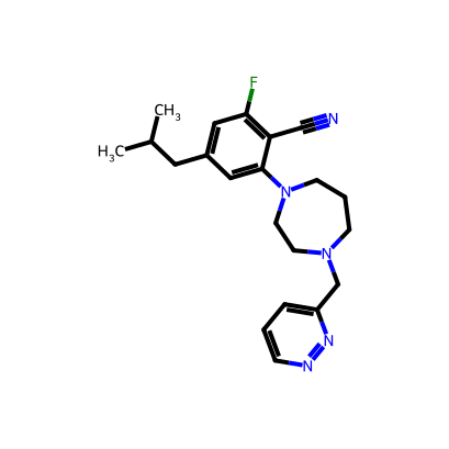 CC(C)Cc1cc(F)c(C#N)c(N2CCCN(Cc3cccnn3)CC2)c1